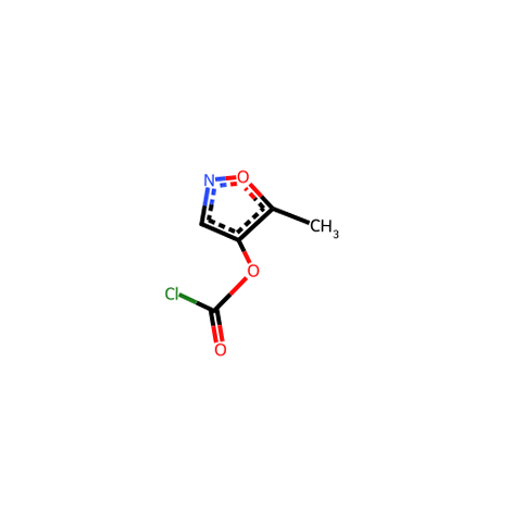 Cc1oncc1OC(=O)Cl